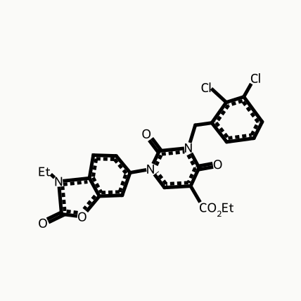 CCOC(=O)c1cn(-c2ccc3c(c2)oc(=O)n3CC)c(=O)n(Cc2cccc(Cl)c2Cl)c1=O